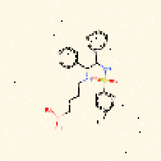 Cc1ccc(S(=O)(=O)NC(c2ccccc2)C(NCCCCB(O)O)c2ccccc2)cc1